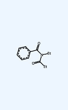 CCC(=O)N(CC)C(=O)c1ccccc1